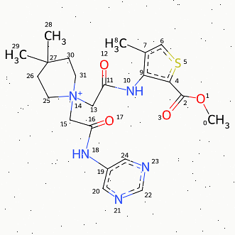 COC(=O)c1scc(C)c1NC(=O)C[N+]1(CC(=O)Nc2cncnc2)CCC(C)(C)CC1